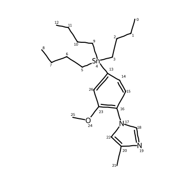 CCC[CH2][Sn]([CH2]CCC)([CH2]CCC)[c]1ccc(-n2cnc(C)c2)c(OC)c1